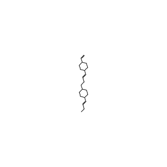 C=CC1CCC(C=CCCC2CCC(C=CCC)CC2)CC1